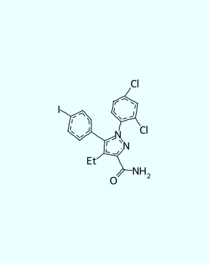 CCc1c(C(N)=O)nn(-c2ccc(Cl)cc2Cl)c1-c1ccc(I)cc1